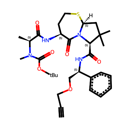 C#CCOC[C@@H](NC(=O)[C@H]1N2C(=O)[C@@H](NC(=O)[C@H](C)N(C)C(=O)OC(C)(C)C)CCS[C@H]2CC1(C)C)c1ccccc1